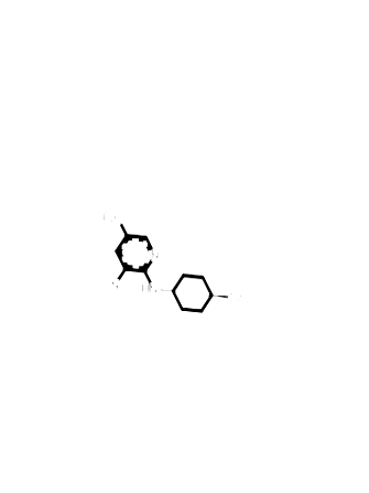 CC(=O)O[C@H]1CC[C@H](Nc2ncc(C(F)(F)F)cc2[N+](=O)[O-])CC1